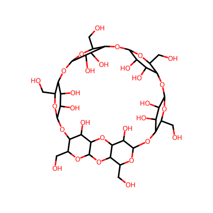 OCC1OC2OC3C(CO)OC(OC4C(CO)OC5OC6C(CO)OC(OC7C(CO)OC(OC8C(CO)OC(OC1C(O)C2O)C(O)C8O)C(O)C7O)C(O)C6OC5C4O)C(O)C3O